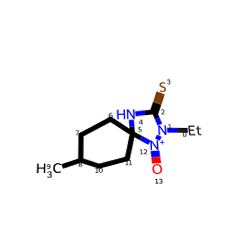 CCN1C(=S)NC2(CCC(C)CC2)[N+]1=O